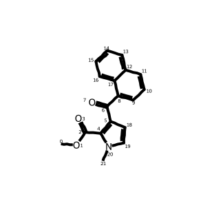 COC(=O)c1c(C(=O)c2cccc3ccccc23)ccn1C